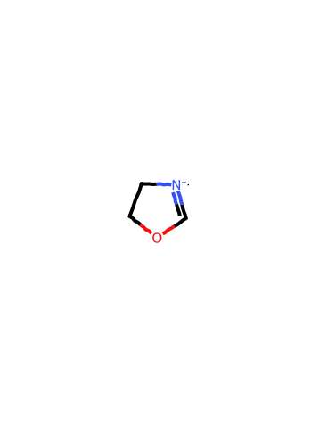 C1=[N+]CCO1